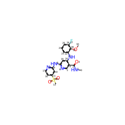 CNC(=O)c1cnc(Nc2cc(S(C)(=O)=O)ccn2)cc1Nc1cccc(F)c1OC